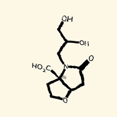 O=C1CC2OCC[C@]2(C(=O)O)N1CC(O)CO